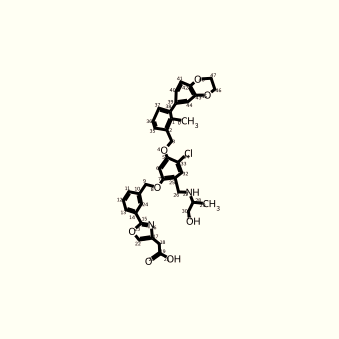 Cc1c(COc2cc(OCc3cccc(-c4nc(CC(=O)O)co4)c3)c(CNC(C)CO)cc2Cl)cccc1-c1ccc2c(c1)OCCO2